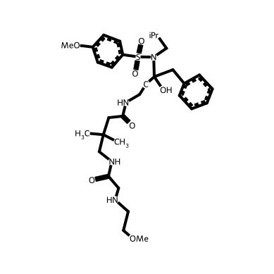 COCCNCC(=O)NCC(C)(C)CC(=O)NCCC(O)(Cc1ccccc1)N(CC(C)C)S(=O)(=O)c1ccc(OC)cc1